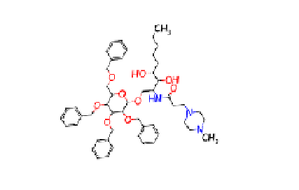 CCCCC[C@@H](O)[C@@H](O)[C@H](COC1OC(COCc2ccccc2)C(OCc2ccccc2)C(OCc2ccccc2)C1OCc1ccccc1)NC(=O)CCN1CCN(C)CC1